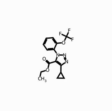 CCOC(=O)c1c(C2CC2)nnn1-c1ccccc1OC(F)(F)F